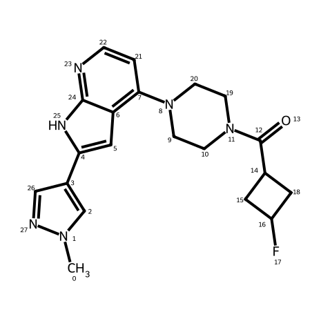 Cn1cc(-c2cc3c(N4CCN(C(=O)C5CC(F)C5)CC4)ccnc3[nH]2)cn1